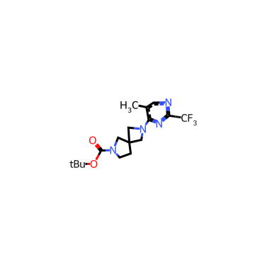 Cc1cnc(C(F)(F)F)nc1N1CC2(CCN(C(=O)OC(C)(C)C)C2)C1